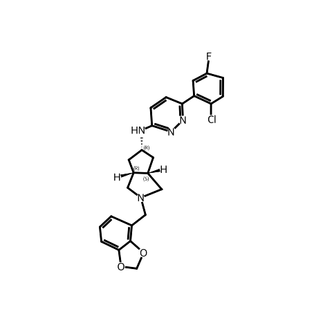 Fc1ccc(Cl)c(-c2ccc(N[C@@H]3C[C@@H]4CN(Cc5cccc6c5OCO6)C[C@@H]4C3)nn2)c1